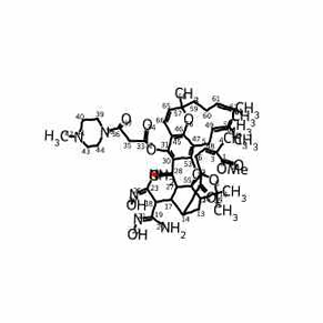 COC(=O)/C(C)=C\CC12OC(C)(C)C3CC(C1=O)C(C(/C(N)=N/O)/C(N)=N\O)C1C(=O)c4c(OC(=O)CC(=O)N5CCN(C)CC5)c5c(c(CC=C(C)C)c4OC132)OC(C)(CCC=C(C)C)C=C5